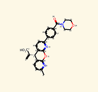 C=C(C(=O)O)[C@H]1c2ccc(C)nc2Oc2nc(-c3ccc(C(=O)N4CCOCC4)cc3)ccc21